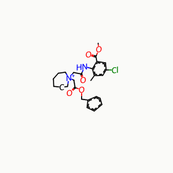 COC(=O)c1cc(Cl)cc(C)c1NC(=O)C[N+]1(CC(=O)OCc2ccccc2)CCCCCC1